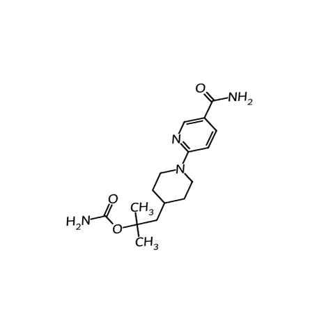 CC(C)(CC1CCN(c2ccc(C(N)=O)cn2)CC1)OC(N)=O